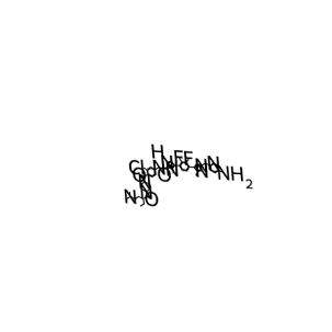 CCC(CCN(C)C)C(=O)N1CCN(C(=O)c2ccc(NC(=O)c3ncc(-c4ccc(-c5cn(Cc6ccc(N)cn6)nc5C)c(F)c4F)n3C)cc2Cl)CC1